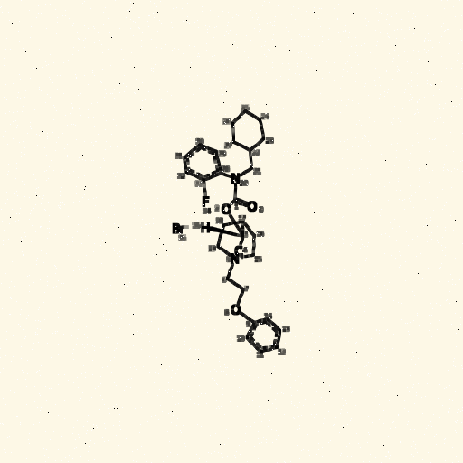 O=C(O[C@H]1C[N+]2(CCOc3ccccc3)CCC1CC2)N(CC1CCCCC1)c1ccccc1F.[Br-]